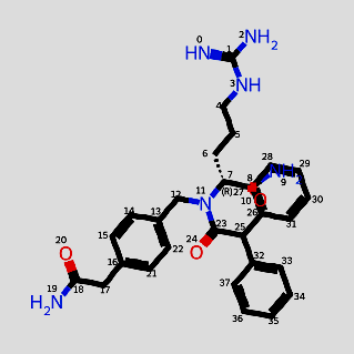 N=C(N)NCCC[C@H](C(N)=O)N(Cc1ccc(CC(N)=O)cc1)C(=O)C(c1ccccc1)c1ccccc1